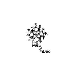 CCCCCCCCCCCC[SH+]C.Fc1c(F)c(F)c([B-](c2c(F)c(F)c(F)c(F)c2F)(c2c(F)c(F)c(F)c(F)c2F)c2c(F)c(F)c(F)c(F)c2F)c(F)c1F